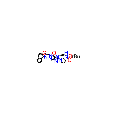 CC#CCn1c(N2CCC[C@@H](NC(=O)OC(C)(C)C)C2)nc2cnn(Cc3nc4c(ccc5ccccc54)o3)c(=O)c21